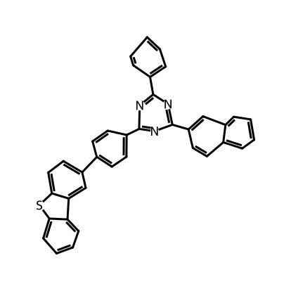 c1ccc(-c2nc(-c3ccc(-c4ccc5sc6ccccc6c5c4)cc3)nc(-c3ccc4ccccc4c3)n2)cc1